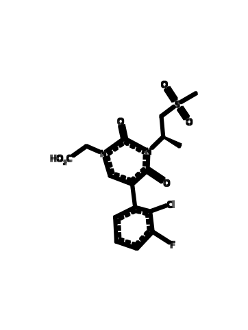 C[C@H](CS(C)(=O)=O)n1c(=O)c(-c2cccc(F)c2Cl)cn(CC(=O)O)c1=O